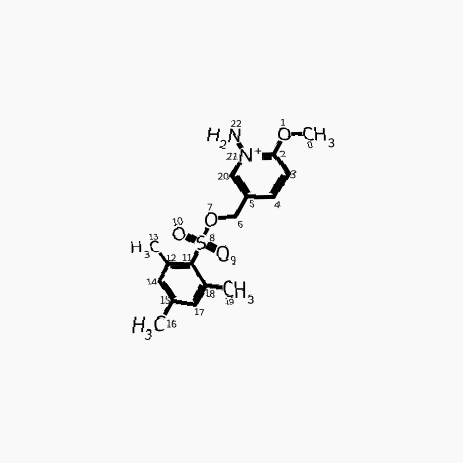 COc1ccc(COS(=O)(=O)c2c(C)cc(C)cc2C)c[n+]1N